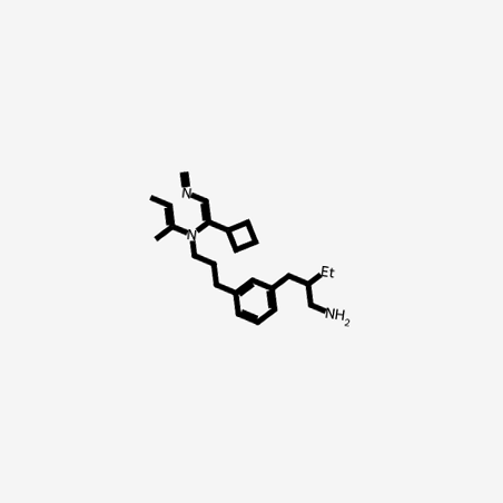 C=N/C=C(/C1CCC1)N(CCCc1cccc(CC(CC)CN)c1)/C(C)=C/C